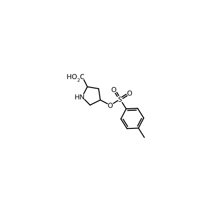 Cc1ccc(S(=O)(=O)OC2CNC(C(=O)O)C2)cc1